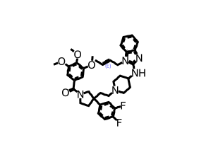 C/C=C/Cn1c(NC2CCN(CCC3(c4ccc(F)c(F)c4)CCN(C(=O)c4cc(OC)c(OC)c(OC)c4)C3)CC2)nc2ccccc21